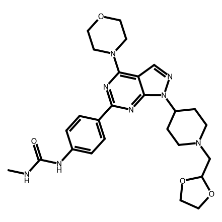 CNC(=O)Nc1ccc(-c2nc(N3CCOCC3)c3cnn(C4CCN(CC5OCCO5)CC4)c3n2)cc1